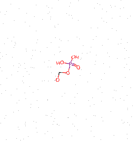 [O]COP(=O)(O)O